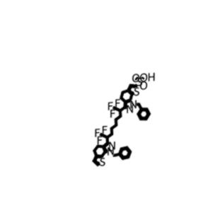 O=S(=O)(O)c1cc2c(s1)-c1c(c(C(CCCCCC(c3nn(Cc4ccccc4)c4c3CCc3ccsc3-4)C(F)(F)F)C(F)(F)F)nn1Cc1ccccc1)CC2